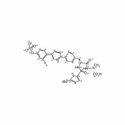 C[C@@H](NC(=O)[C@H](Cc1ccc(-c2ncc(-c3ccc(OS(=O)(=O)C(F)(F)F)cc3F)cn2)cc1)NC(=O)c1ccc(C(C)(C)C)s1)C(=O)O